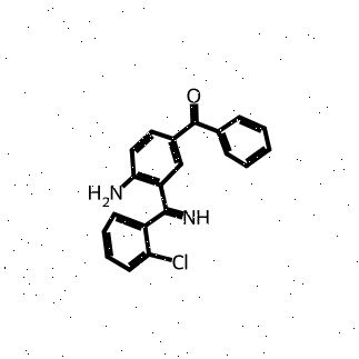 N=C(c1cc(C(=O)c2ccccc2)ccc1N)c1ccccc1Cl